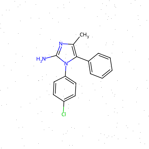 Cc1nc(N)n(-c2ccc(Cl)cc2)c1-c1ccccc1